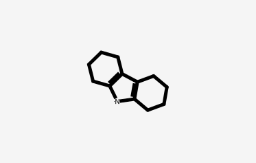 C1CCC2=C(C1)[N]C1=C2CCCC1